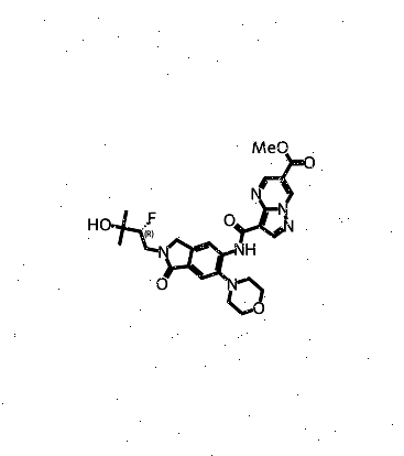 COC(=O)c1cnc2c(C(=O)Nc3cc4c(cc3N3CCOCC3)C(=O)N(C[C@@H](F)C(C)(C)O)C4)cnn2c1